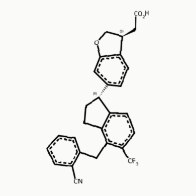 N#Cc1ccccc1Cc1c(C(F)(F)F)ccc2c1CC[C@@H]2c1ccc2c(c1)OC[C@H]2CC(=O)O